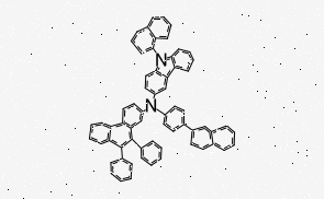 c1ccc(-c2c(-c3ccccc3)c3cc(N(c4ccc(-c5ccc6ccccc6c5)cc4)c4ccc5c(c4)c4ccccc4n5-c4cccc5ccccc45)ccc3c3ccccc23)cc1